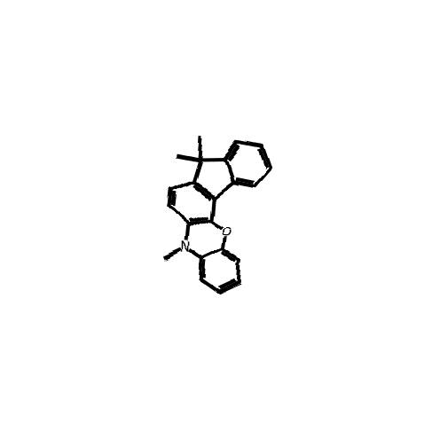 CN1c2ccccc2Oc2c1ccc1c2-c2ccccc2C1(C)C